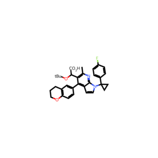 Cc1nc2c(ccn2C2(c3ccc(F)cc3)CC2)c(-c2ccc3c(c2)CCCO3)c1C(OC(C)(C)C)C(=O)O